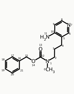 CN(CCCc1cnccc1N)C(=O)OCc1ccccc1